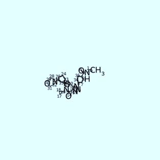 CCNC(=O)c1ccc(-n2nnc(C(=O)NC3CC3)c2COc2cccc(N3CCOCC3)c2)cc1